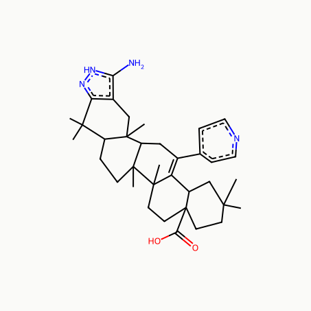 CC1(C)CCC2(C(=O)O)CCC3(C)C(=C(c4ccncc4)CC4C5(C)Cc6c(n[nH]c6N)C(C)(C)C5CCC43C)C2C1